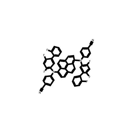 N#Cc1ccc(N(c2cc(-c3ccccc3F)c(F)cc2F)c2ccc3ccc4c(N(c5ccc(C#N)cc5)c5cc(-c6ccccc6F)c(F)cc5F)ccc5ccc2c3c54)cc1